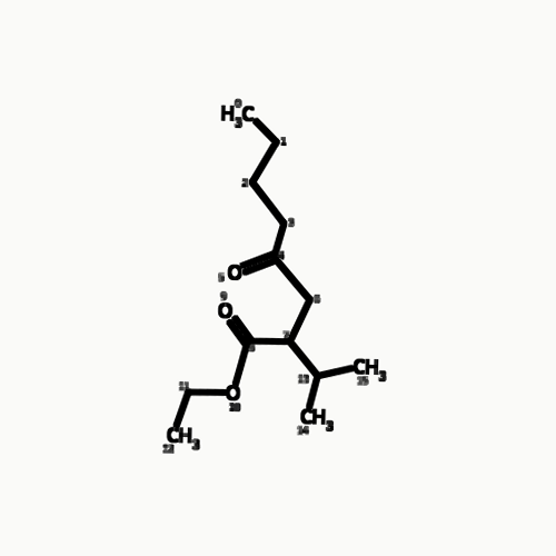 CCCCC(=O)CC(C(=O)OCC)C(C)C